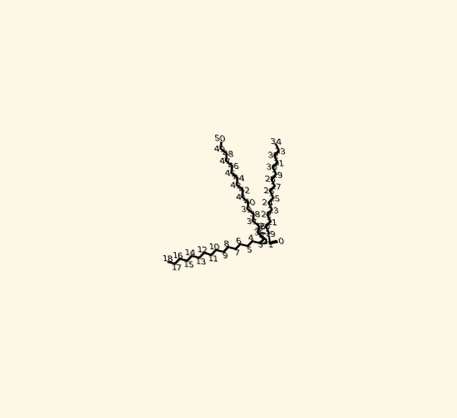 C=C[Si](CCCCCCCCCCCCCCCC)(CCCCCCCCCCCCCCCC)CCCCCCCCCCCCCCCC